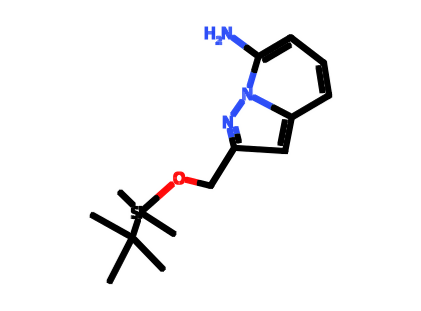 CC(C)(C)[Si](C)(C)OCc1cc2cccc(N)n2n1